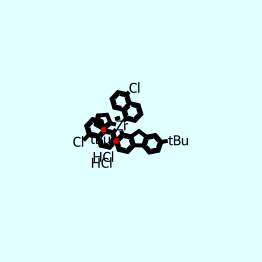 Cl.Cl.[CH2]=[Zr]([C]1=CC=CC1)([c]1c(C(C)(C)C)ccc2c1Cc1cc(C(C)(C)C)ccc1-2)([c]1cccc2c(Cl)cccc12)[c]1cccc2c(Cl)cccc12